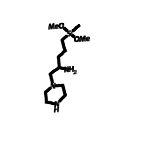 CO[Si](C)(CCCC(N)CN1CCNCC1)OC